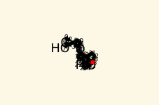 CCC[C@@H](CC(=O)O)c1cccc(OCc2ccc(-c3cc(OC)ccc3F)c(C3CCCCCC3)c2)c1